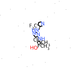 CC1(C)[C@@H](CO)C[C@@H]1Nc1nc(NCc2cnccc2C(F)(F)F)ncc1C(F)(F)F